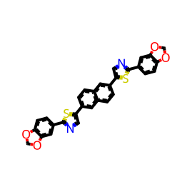 c1cc2cc(-c3cnc(-c4ccc5c(c4)OCO5)s3)ccc2cc1-c1cnc(-c2ccc3c(c2)OCO3)s1